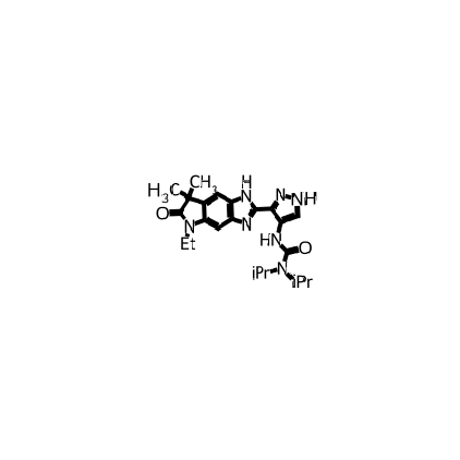 CCN1C(=O)C(C)(C)c2cc3[nH]c(-c4n[nH]cc4NC(=O)N(C(C)C)C(C)C)nc3cc21